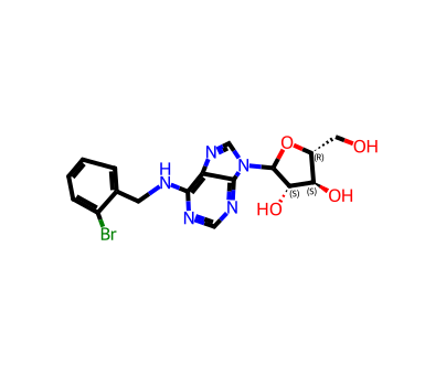 OC[C@H]1OC(n2cnc3c(NCc4ccccc4Br)ncnc32)[C@@H](O)[C@@H]1O